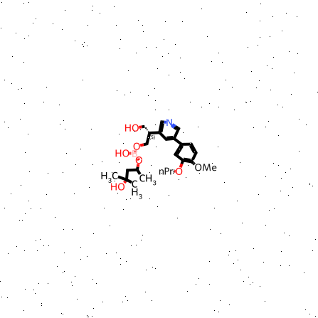 CCCOc1cc(-c2cncc([C@@H](CO)COB(O)OC(C)CC(C)(C)O)c2)ccc1OC